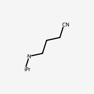 CC(C)[N]CCCC#N